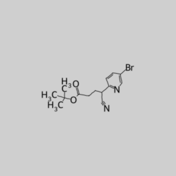 CC(C)(C)OC(=O)CCC(C#N)c1ccc(Br)cn1